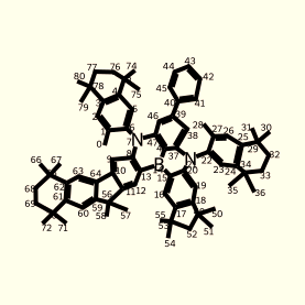 Cc1cc2c(cc1N1c3cc4c(cc3B3c5cc6c(cc5N(c5cc7c(cc5C)C(C)(C)CCC7(C)C)c5cc(-c7ccccc7)cc1c53)C(C)(C)CC6(C)C)C(C)(C)c1cc3c(cc1-4)C(C)(C)CCC3(C)C)C(C)(C)CCC2(C)C